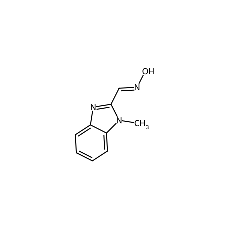 Cn1c(/C=N/O)nc2ccccc21